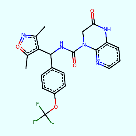 Cc1noc(C)c1C(NC(=O)N1CC(=O)Nc2cccnc21)c1ccc(OC(F)(F)F)cc1